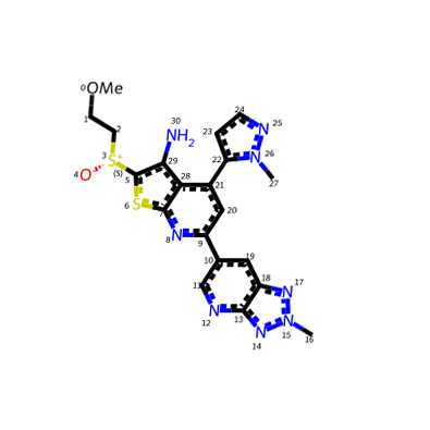 COCC[S@@+]([O-])c1sc2nc(-c3cnc4nn(C)nc4c3)cc(-c3ccnn3C)c2c1N